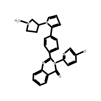 CN1CCC(n2cccc2-c2ccc(-c3nc4ccccc4c(=O)n3-c3ccc(Cl)cn3)cc2)C1